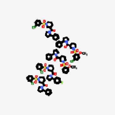 COc1ccc(Cl)cc1S(=O)(=O)N1CCCC(C(=O)N2CCCC2c2ccccc2)C1.COc1ccccc1S(=O)(=O)N1CCCC(C(=O)N2CCCC2c2ccccc2)C1.O=C(C1CCCN(S(=O)(=O)c2cccc(Cl)c2)C1)N1CCCC1c1ccccc1.O=C(C1CCCN(S(=O)(=O)c2ccccc2Cl)C1)N1CCCC1c1ccc(F)cc1.O=C(C1CCCN(S(=O)(=O)c2ccccc2Cl)C1)N1CCCC1c1ccccc1